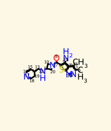 Cc1nnc2sc(C(=O)N3CC(NCC4C=CN=CC4)C3)c(N)c2c1C